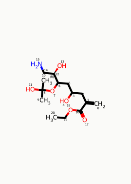 C=C(CC(O)CC(OC(C)(C)O)[C@H](O)CN)C(=O)OCC